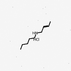 CC=CCNCCCCC.Cl